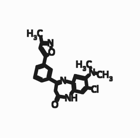 Cc1cc(-c2cccc(C3=Nc4cc(N(C)C)c(Cl)cc4NC(=O)C3)c2)on1